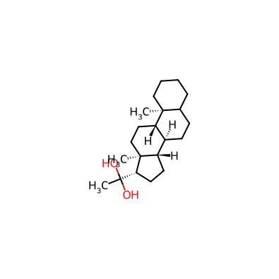 CC(O)(O)[C@H]1CC[C@H]2[C@@H]3CCC4CCCC[C@]4(C)[C@H]3CC[C@]12C